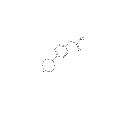 CCC(=O)Cc1ccc(N2CCOCC2)cc1